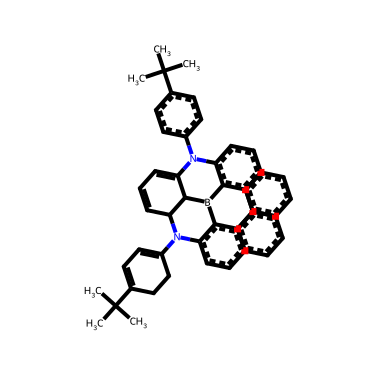 CC(C)(C)C1=CC=C(N2c3cccc(-c4ccccc4)c3B3c4c(-c5ccccc5)cccc4N(c4ccc(C(C)(C)C)cc4)C4=CC=CC2C34)CC1